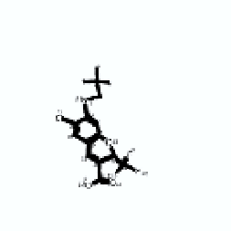 CC(C)(C)CNc1cc2c(cc1Cl)C=C(C(=O)O)C(C(F)(F)F)O2